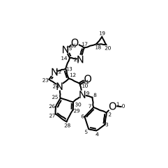 COc1ccccc1Cn1c(=O)c2c(-c3noc(C4CC4)n3)ncn2c2ccccc21